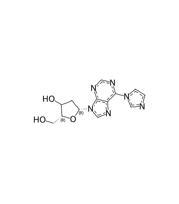 OC[C@H]1O[C@@H](n2cnc3c(-n4ccnc4)ncnc32)CC1O